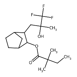 CCC(C)(C)C(=O)OC1C2CCC(C2)C1CC(C)(O)C(F)(F)F